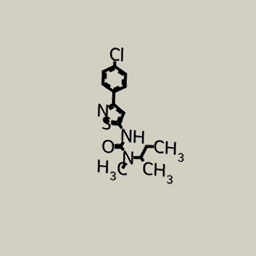 CCC(C)N(C)C(=O)Nc1cc(-c2ccc(Cl)cc2)ns1